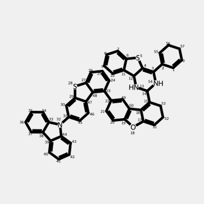 C1=CC(C2=C3Sc4ccccc4C3NC(C3=c4c(oc5ccc(-c6cccc7sc8cc(-n9c%10ccccc%10c%10ccccc%109)ccc8c67)cc45)=CCC3)N2)=CCC1